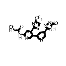 CCNC(=O)Nc1cc(-c2nc(C(F)(F)F)cs2)c(-c2cncc(-c3n[nH]c(=O)[nH]3)c2)cn1